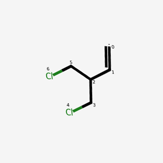 [CH]=CC(CCl)CCl